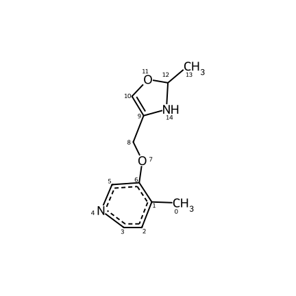 Cc1ccncc1OCC1=COC(C)N1